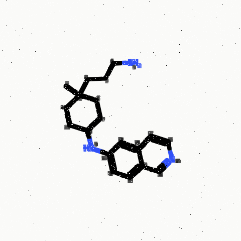 CC1(CCCN)CCC(Nc2ccc3cnccc3c2)CC1